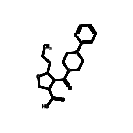 CCCC1OCC(C(=O)O)C1C(=O)N1CCN(c2ccccn2)CC1